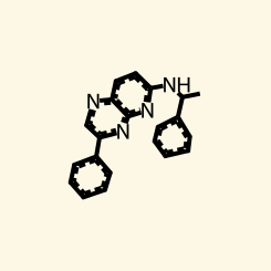 CC(Nc1ccc2ncc(-c3ccccc3)nc2n1)c1ccccc1